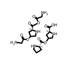 NCC(=O)OC(=O)[C@@H]1CC(OC(=O)CN)CN1.O=C(O)[C@@H]1CC(OC(=O)[C@@H]2CCCN2)CN1